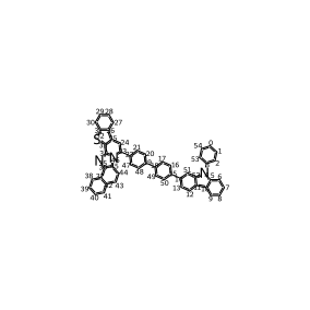 c1ccc(-n2c3ccccc3c3ccc(-c4ccc(-c5ccc(-c6cc7c8ccccc8sc7c7nc8c9ccccc9ccc8n67)cc5)cc4)cc32)cc1